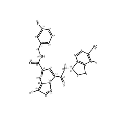 CC(=O)c1ccc2c(c1C)CC[C@@H]2NC(=O)c1cc(C(=O)NCc2cccc(F)c2)nc2c(F)cnn12